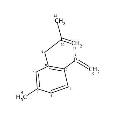 C=Pc1ccc(C)cc1CC(=C)C